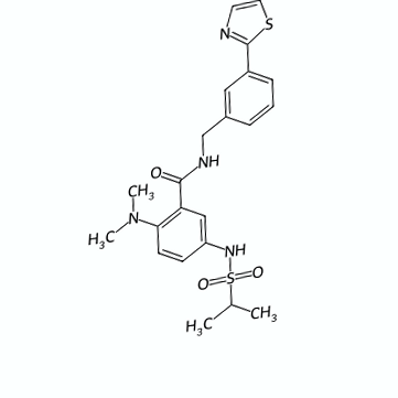 CC(C)S(=O)(=O)Nc1ccc(N(C)C)c(C(=O)NCc2cccc(-c3nccs3)c2)c1